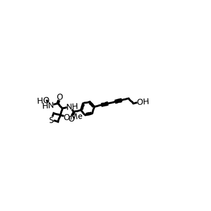 COC1(C(NC(=O)c2ccc(C#CC#CCCO)cc2)C(=O)NO)CSC1